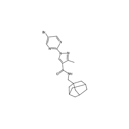 Cc1nn(-c2ncc(Br)cn2)cc1C(=O)NCC12CC3CC(CC(C3)C1)C2